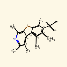 Bc1nc(B)c2sc3c(B)c(C(C)(C)C)c(B)c(B)c3c2c1B